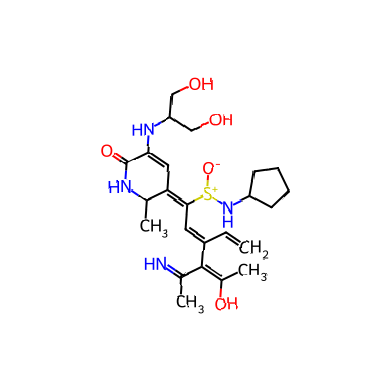 C=CC(=C\C(=C1\C=C(NC(CO)CO)C(=O)NC1C)[S+]([O-])NC1CCCC1)/C(C(C)=N)=C(\C)O